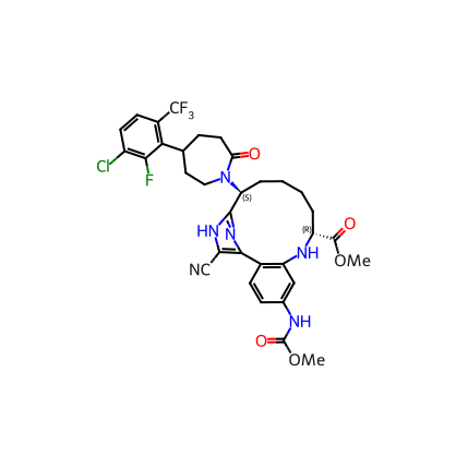 COC(=O)Nc1ccc2c(c1)N[C@@H](C(=O)OC)CCCC[C@H](N1CCC(c3c(C(F)(F)F)ccc(Cl)c3F)CCC1=O)c1nc-2c(C#N)[nH]1